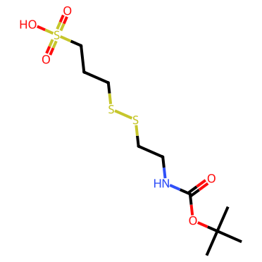 CC(C)(C)OC(=O)NCCSSCCCS(=O)(=O)O